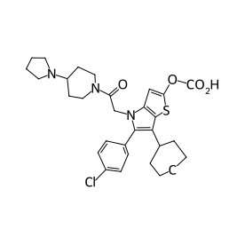 O=C(O)Oc1cc2c(s1)c(C1CCCCC1)c(-c1ccc(Cl)cc1)n2CC(=O)N1CCC(N2CCCC2)CC1